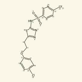 O=S(=O)(Nc1nnc(CCOc2ccc(Cl)cc2)s1)c1ccc(C(F)(F)F)nc1